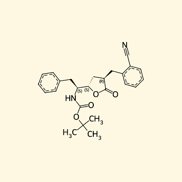 CC(C)(C)OC(=O)N[C@@H](Cc1ccccc1)[C@@H]1C[C@@H](Cc2ccccc2C#N)C(=O)O1